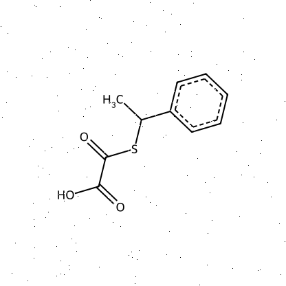 CC(SC(=O)C(=O)O)c1ccccc1